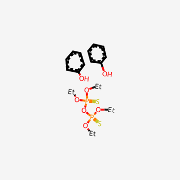 CCOP(=S)(OCC)OP(=S)(OCC)OCC.Oc1ccccc1.Oc1ccccc1